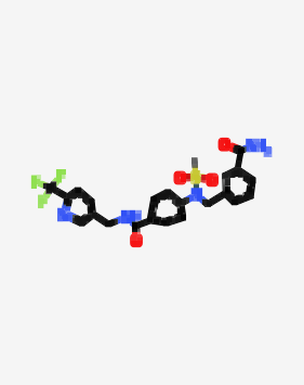 CS(=O)(=O)N(Cc1cccc(C(N)=O)c1)c1ccc(C(=O)NCc2ccc(C(F)(F)F)nc2)cc1